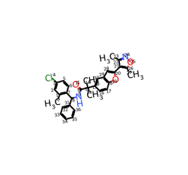 Cc1cc(Cl)ccc1C(NC(=O)C(C)(C)c1ccc2oc(-c3c(C)noc3C)cc2c1)c1ccccc1